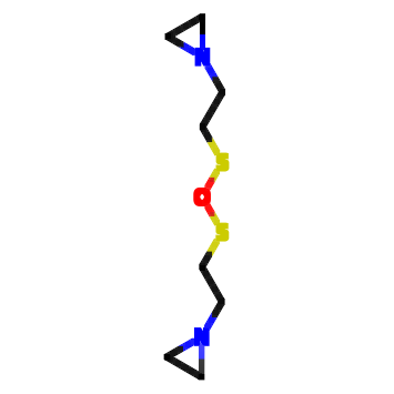 C(CN1CC1)SOSCCN1CC1